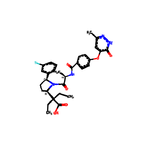 CCC(CC)(C(=O)O)[C@H]1CC[C@@H](c2cccc(F)c2)N1C(=O)[C@@H](C)NC(=O)c1ccc(Oc2cc(C)n[nH]c2=O)cc1